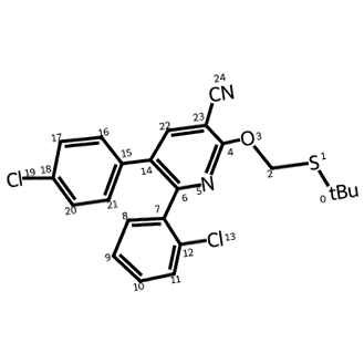 CC(C)(C)SCOc1nc(-c2ccccc2Cl)c(-c2ccc(Cl)cc2)cc1C#N